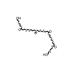 O=C(CCSCSCCC[S+]([O-])CCSCSCCC(=O)SCCSCSCCC(=O)SCCSCCO)SCCSCCO